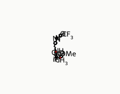 COc1ccc(C(C)C)c(N2C(C)=CSC2NC(=O)NCCCc2ccc(-c3ncn(-c4ccc(OC(F)(F)F)cc4)n3)cc2)c1